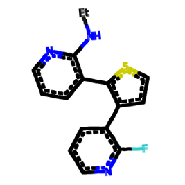 CCNc1ncccc1-c1sccc1-c1cccnc1F